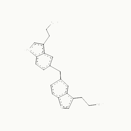 CC(=O)NCCc1c[nH]c2ccc(Cc3ccc4[nH]cc(CCNC(C)=O)c4c3)cc12